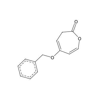 O=C1CC=C(OCc2ccccc2)C=CO1